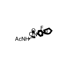 CC(=O)NC[C@H]1CN(c2ccc(N3C4CCCC3CC4)c(F)c2)C(=O)O1